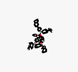 CC(C)(C)c1ccc(N(c2ccc(-c3ccc4c(c3)CCC=C4)cc2)c2ccc3c(c2)C2(c4ccccc4Oc4ccccc42)c2c-3c3ccccc3c3cc(N(c4ccc(-c5ccc6ccccc6c5)cc4)c4ccc(C(C)(C)C)cc4)ccc23)cc1